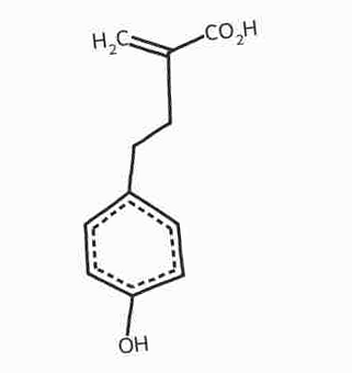 C=C(CCc1ccc(O)cc1)C(=O)O